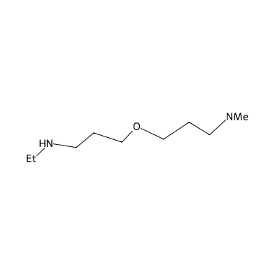 CCNCCCOCCCNC